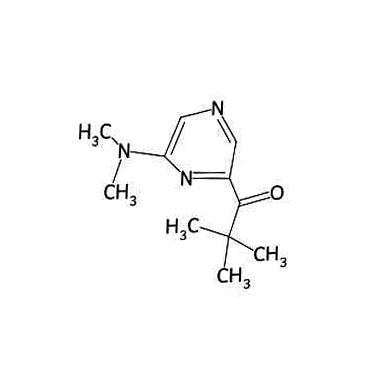 CN(C)c1cncc(C(=O)C(C)(C)C)n1